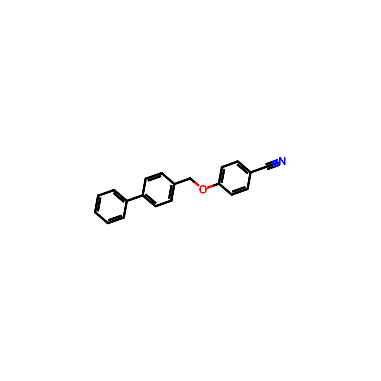 N#Cc1ccc(OCc2ccc(-c3ccccc3)cc2)cc1